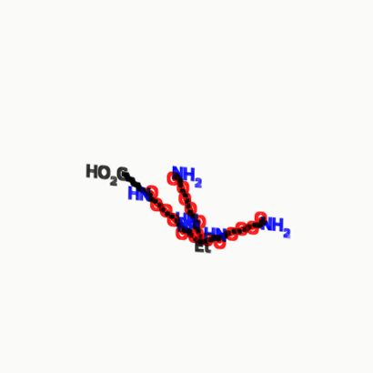 CCC(COCCC(=O)NCCOCCOCCOCCC(N)=O)(COCCC(=O)NCCOCCOCCOCCC(N)=O)COCCC(=O)NCCOCCOCCOCCC(=O)NCCCCCCCC(=O)O